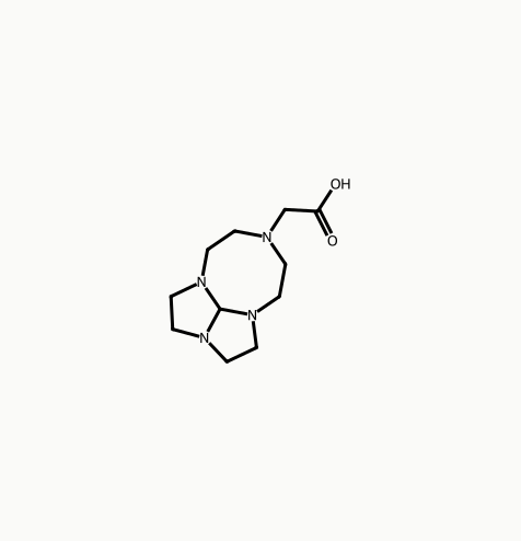 O=C(O)CN1CCN2CCN3CCN(CC1)C23